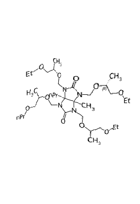 CCCOCC(C)OCN1C(=O)N(COC(C)COCC)C2(C)N(CO[C@H](C)COCC)C(=O)N(COC(C)COCC)C12CCC